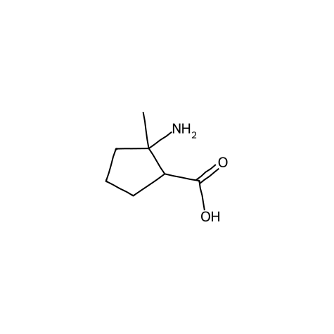 CC1(N)CCCC1C(=O)O